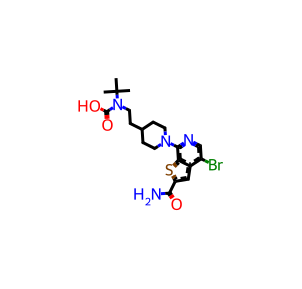 CC(C)(C)N(CCC1CCN(c2ncc(Br)c3cc(C(N)=O)sc23)CC1)C(=O)O